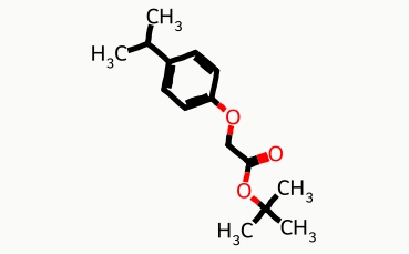 CC(C)c1ccc(OCC(=O)OC(C)(C)C)cc1